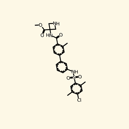 COC(=O)C1(NC(=O)c2ccc(-c3cccc(NS(=O)(=O)c4cc(C)c(Cl)cc4C)c3)cc2C)CNC1